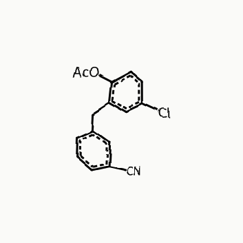 CC(=O)Oc1ccc(Cl)cc1Cc1cccc(C#N)c1